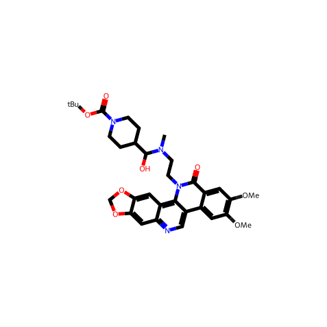 COc1cc2c(=O)n(CCN(C)C(O)C3CCN(C(=O)OC(C)(C)C)CC3)c3c4cc5c(cc4ncc3c2cc1OC)OCO5